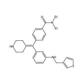 CCN(CC)C(=O)c1ccc(C(=C2CCNCC2)c2cccc(NCc3ccsc3)c2)cc1